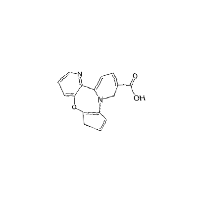 O=C(O)C1=CC=C2c3ncccc3OC3=C(C=CC3)N2C1